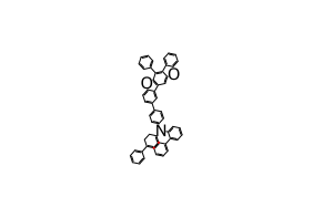 C1=C(c2ccccc2)CCC(N(c2ccc(-c3ccc4oc5c(-c6ccccc6)c6c(cc5c4c3)oc3ccccc36)cc2)c2ccccc2-c2ccccc2)=C1